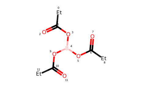 CCC(=O)OB(OC(=O)CC)OC(=O)CC